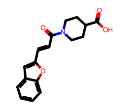 O=C(O)C1CCN(C(=O)C=Cc2cc3ccccc3o2)CC1